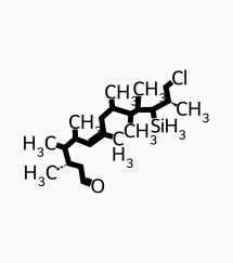 C/C(=C/C(C)C(C)[C@@H](C)CC=O)CC(C)C(C)C(C)C([SiH3])[C@@H](C)CCl